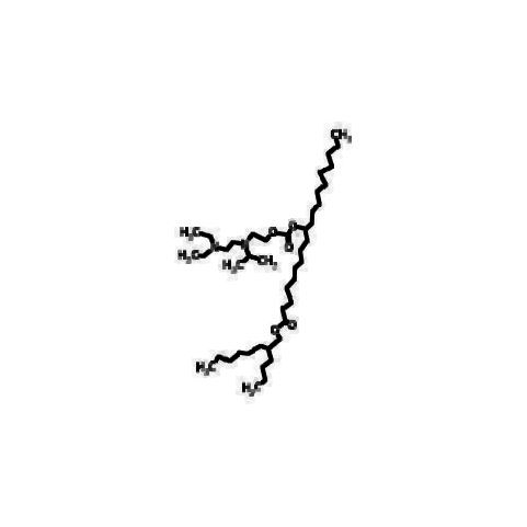 CCCCCCCCCCC(CCCCCCCCC(=O)OCC(CCCC)CCCCCC)OC(=O)OCCN(CCN(CC)CC)C(C)C